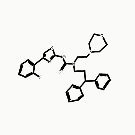 O=C(Nc1nc(-c2ccccc2F)cs1)N(CCC(c1ccccc1)c1ccccc1)CCN1CCOCC1